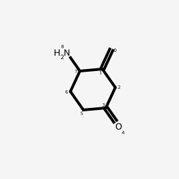 C=C1CC(=O)CCC1N